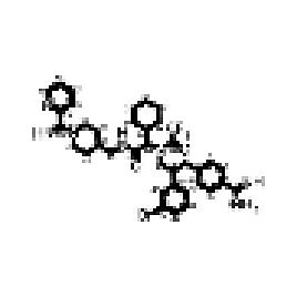 N=C(N)c1ccc(CC(CN(C(=O)C(F)(F)F)C(C(=O)NCC2CCN(C(=N)c3ccccn3)CC2)C2CCCCC2)c2cccc(Br)c2)cc1